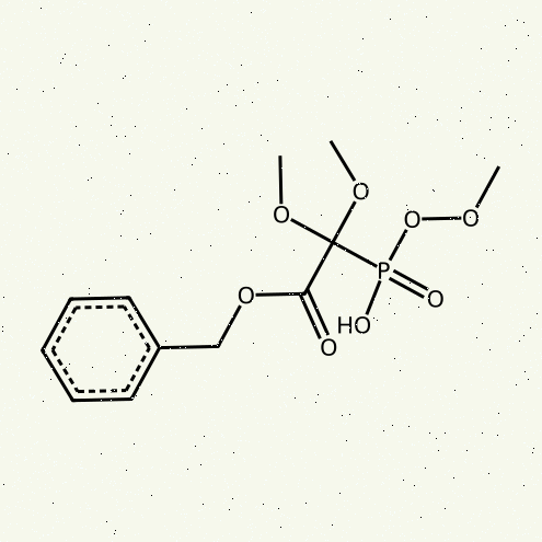 COOP(=O)(O)C(OC)(OC)C(=O)OCc1ccccc1